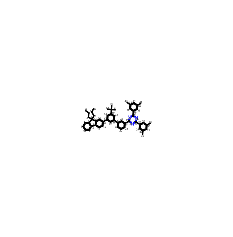 CCCC1(CCC)c2ccccc2-c2ccc(-c3cc(-c4cccc(-c5nc(-c6cc(C)cc(C)c6)nc(-c6cc(C)cc(C)c6)n5)c4)cc(C(C)(C)C)c3)cc21